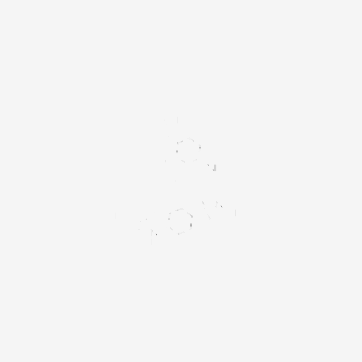 COc1ccc(NCCN(C)S(=O)(=O)c2ccc(NS(C)(=O)=O)cc2)cc1OC